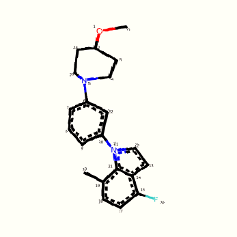 COC1CCN(c2cccc(-n3ccc4c(F)ccc(C)c43)c2)CC1